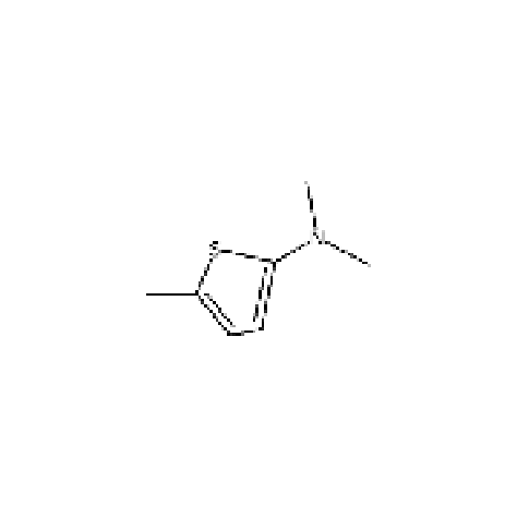 Cc1ccc(N(C)C)s1